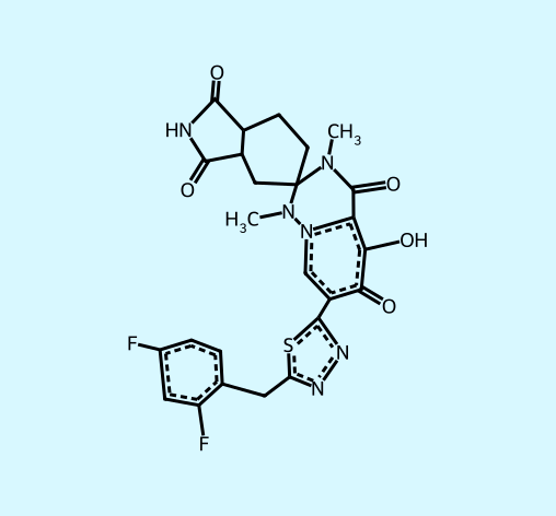 CN1C(=O)c2c(O)c(=O)c(-c3nnc(Cc4ccc(F)cc4F)s3)cn2N(C)C12CCC1C(=O)NC(=O)C1C2